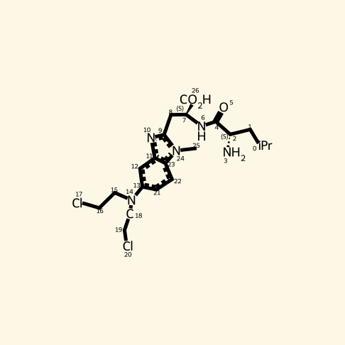 CC(C)C[C@H](N)C(=O)N[C@@H](Cc1nc2cc(N(CCCl)CCCl)ccc2n1C)C(=O)O